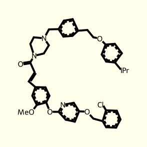 COc1cc(C=CC(=O)N2CCN(Cc3ccc(CCOc4ccc(C(C)C)cc4)cc3)CC2)ccc1Oc1ccc(OCc2ccccc2Cl)cn1